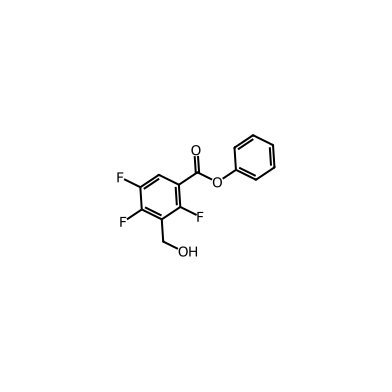 O=C(Oc1ccccc1)c1cc(F)c(F)c(CO)c1F